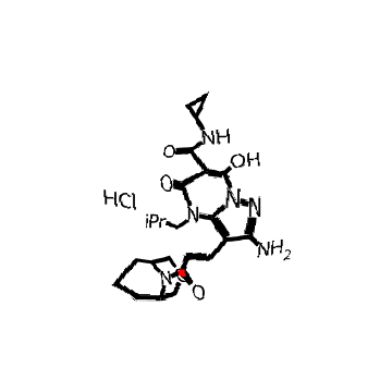 CC(C)Cn1c(=O)c(C(=O)NC2CC2)c(O)n2nc(N)c(C=CC(=O)N3C4CCCC3COC4)c12.Cl